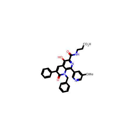 COc1cncc(-c2nc(C(=O)NCCC(=O)O)c(O)c3cc(-c4ccccc4)c(=O)n(Cc4ccccc4)c23)c1